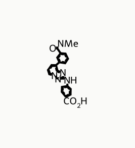 CNC(=O)c1cccc(-c2cccn3nc(Nc4ccc(C(=O)O)cc4)nc23)c1